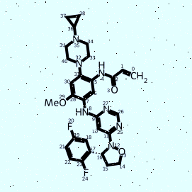 C=CC(=O)Nc1cc(Nc2cc(N3OCC[C@@H]3c3cc(F)ccc3F)ncn2)c(OC)cc1N1CCN(C2CC2)CC1